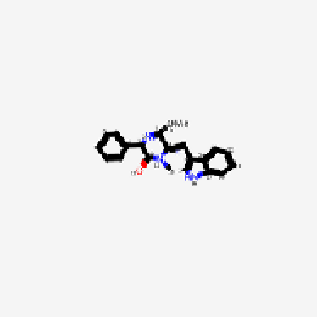 COC1=NC(c2ccccc2)C(=O)N(C)/C1=C\c1c[nH]c2ccccc12